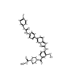 CCOc1cc(C(=O)N2CCN(C(=O)OC(C)(C)C)CC2)ccc1Nc1nc2ccc(-c3ccc(NC(=O)Cc4ccc(F)cc4)cc3)cn2n1